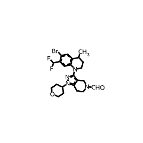 CC1CCN(c2nn(C3CCOCC3)c3c2CN(C=O)CC3)c2cc(C(F)F)c(Br)cc21